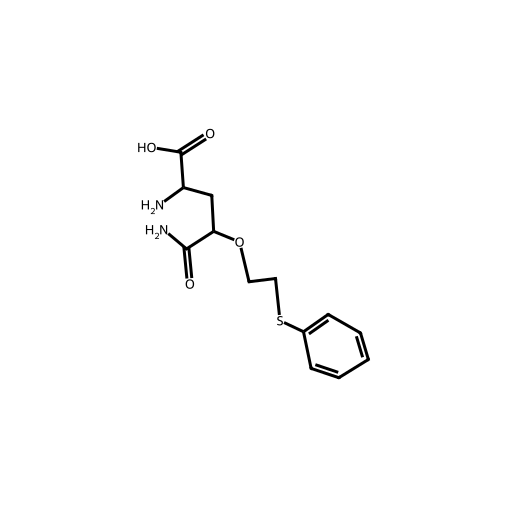 NC(=O)C(CC(N)C(=O)O)OCCSc1ccccc1